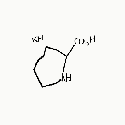 O=C(O)C1CCCN1.[KH]